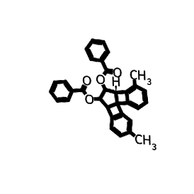 Cc1ccc2c(c1)C13c4cccc(C)c4[C@@H]1C(OC(=O)c1ccccc1)C(OC(=O)c1ccccc1)C23